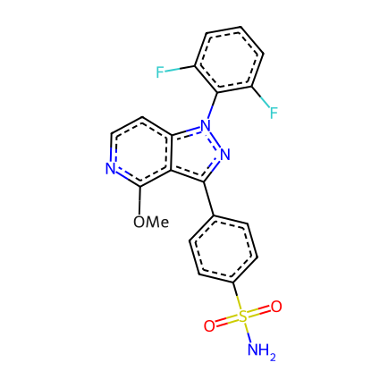 COc1nccc2c1c(-c1ccc(S(N)(=O)=O)cc1)nn2-c1c(F)cccc1F